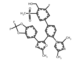 Cc1cn(-c2ccc(-c3cc(F)c(CO)c(S(C)(=O)=O)c3)cc2-c2oc(C)nc2-c2ccc3c(c2)OC(F)(F)O3)c(C)n1